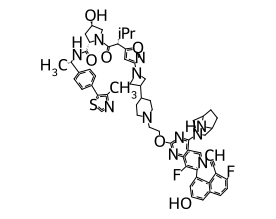 C#Cc1c(F)ccc2cc(O)cc(-c3ncc4c(N5CC6CCC(C5)N6)nc(OCCN5CCC(C6CN(c7cc([C@H](C(=O)N8C[C@H](O)C[C@H]8C(=O)N[C@@H](C)c8ccc(-c9scnc9C)cc8)C(C)C)on7)C6)CC5)nc4c3F)c12